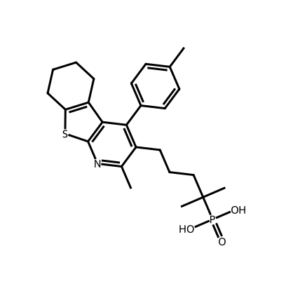 Cc1ccc(-c2c(CCCC(C)(C)P(=O)(O)O)c(C)nc3sc4c(c23)CCCC4)cc1